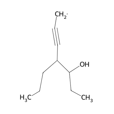 [CH2]C#CC(CCC)C(O)CC